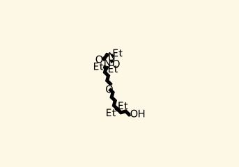 CCN1CC(=O)N(C(CC)(CC)CCCCOCCCCC(CC)(CC)CCCO)C1=O